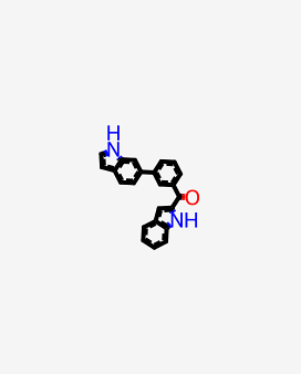 O=C(c1cccc(-c2ccc3cc[nH]c3c2)c1)c1cc2ccccc2[nH]1